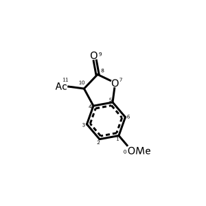 COc1ccc2c(c1)OC(=O)C2C(C)=O